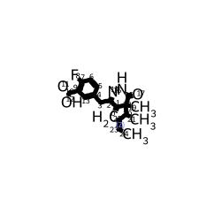 C=C1C(Cc2ccc(F)c(C(=O)O)c2)=NNC(=O)C1(C)C(C)/C=C\C